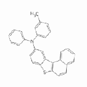 Cc1cccc(N(c2ccccc2)c2ccc3sc4ccc5ccccc5c4c3c2)c1